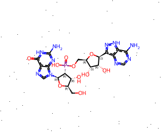 Nc1nc2c(ncn2[C@@H]2O[C@H](CO)[C@@H](O)[C@H]2P(=O)(O)OC[C@H]2O[C@@H](c3n[nH]c4c(N)ncnc34)[C@H](O)[C@@H]2O)c(=O)[nH]1